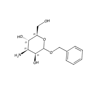 N[C@H]1[C@H](O)[C@@H](CO)OC(OCc2ccccc2)[C@H]1O